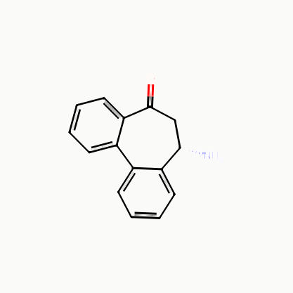 N[C@H]1CC(=O)c2ccccc2-c2ccccc21